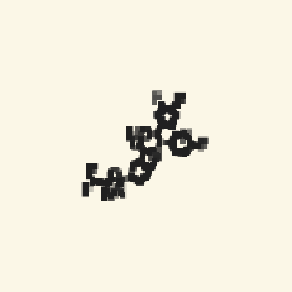 O=C1c2cc(-c3nnc(C(F)F)o3)ccc2CN1[C@H](c1ccc(F)nc1)[C@@H](O)c1ccc(F)c(F)c1